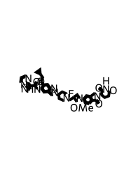 COc1cc(N2CC(F)(CN3CCC(n4cc5cc(NC(=O)c6cnn7cccnc67)c(OCC6CC6)cc5n4)CC3)C2)cc2c1C(=O)N(C1CCC(=O)NC1=O)C2